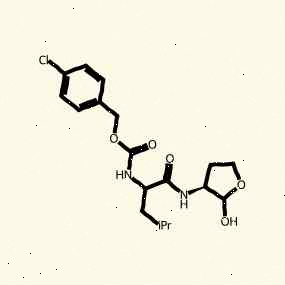 CC(C)CC(NC(=O)OCc1ccc(Cl)cc1)C(=O)N[C@H]1CCOC1O